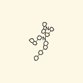 c1ccc(-c2ccc(-c3ccc4ccc(N(c5ccc(-c6ccccc6-n6c7ccccc7c7ccccc76)cc5)c5cccc(-c6cccc7ccccc67)c5)cc4c3)cc2)cc1